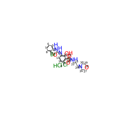 Cl.O=C(Nc1ccccc1Br)Nc1ccc(Cl)c(S(=O)(=O)NCCCN2CCOCC2)c1O